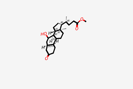 COC(=O)CC[C@@H](C)[C@H]1CC[C@H]2[C@@H]3C(O)C[C@@H]4CC(=O)CC[C@]4(C)[C@H]3CC[C@]12C